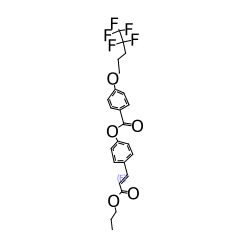 CCCOC(=O)/C=C/c1ccc(OC(=O)c2ccc(OCCCC(F)(F)C(F)(F)F)cc2)cc1